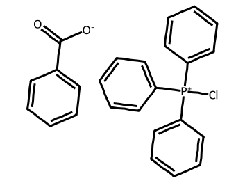 Cl[P+](c1ccccc1)(c1ccccc1)c1ccccc1.O=C([O-])c1ccccc1